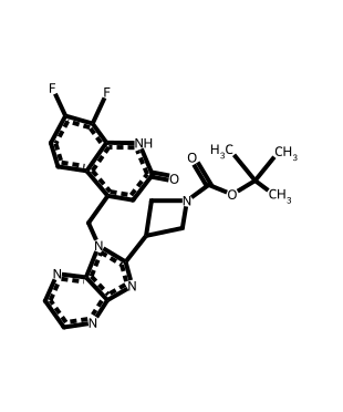 CC(C)(C)OC(=O)N1CC(c2nc3nccnc3n2Cc2cc(=O)[nH]c3c(F)c(F)ccc23)C1